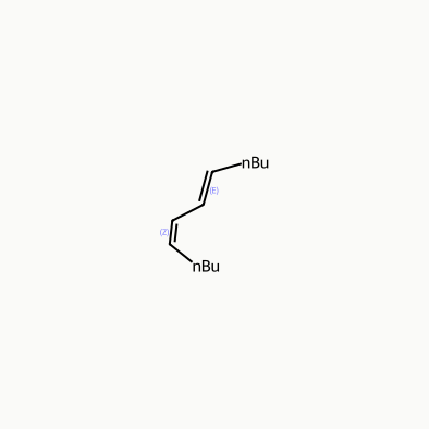 CCCC/C=C\C=C\CCCC